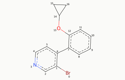 Brc1cnccc1-c1ccccc1OC1CC1